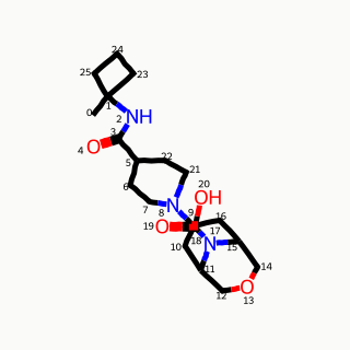 CC1(NC(=O)C2CCN(C3CC4COCC(C3)N4C(=O)O)CC2)CCC1